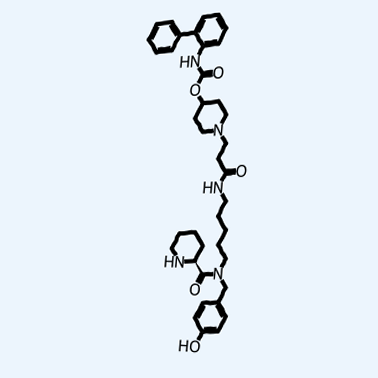 O=C(CCN1CCC(OC(=O)Nc2ccccc2-c2ccccc2)CC1)NCCCCCN(Cc1ccc(O)cc1)C(=O)[C@@H]1CCCCN1